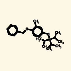 Cc1cc(O[Si](C(C)C)(C(C)C)C(C)C)ccc1OCc1ccccc1